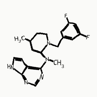 CC1CCN(Cc2cc(F)cc(F)c2)C(N(C)c2ncnc3[nH]ccc23)C1